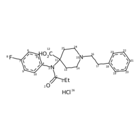 CCC(=O)N(c1ccc(F)cc1)C1(C(=O)O)CCN(CCc2ccccc2)CC1.Cl